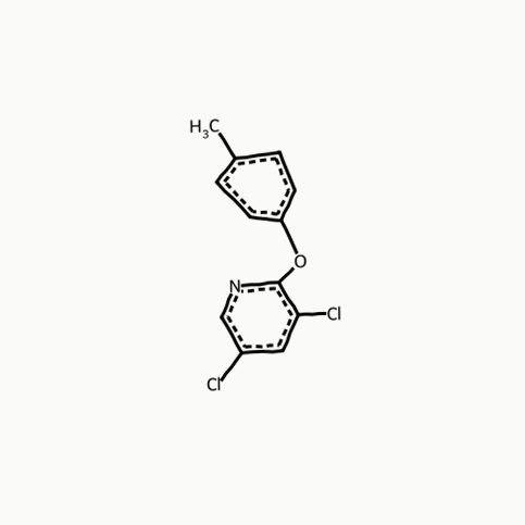 Cc1ccc(Oc2ncc(Cl)cc2Cl)cc1